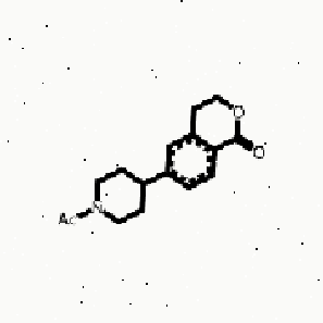 CC(=O)N1CCC(c2ccc3c(c2)CCOC3=O)CC1